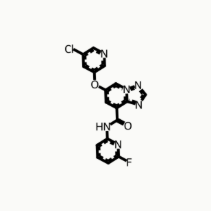 O=C(Nc1cccc(F)n1)c1cc(Oc2cncc(Cl)c2)cn2ncnc12